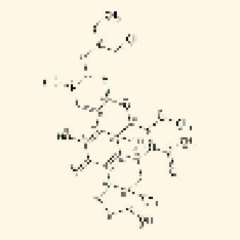 CCN(CC)CCN(C)/C=C1\C(=O)OC(COC)C2(C)C1=C(O)C(=O)C1=C2C(OC(C)=O)CC2(C)C(O)CCC12